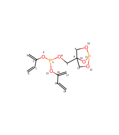 C=CC(=C)OP(OCC12COP(OC1)O2)OC(=C)C=C